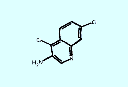 Nc1cnc2cc(Cl)ccc2c1Cl